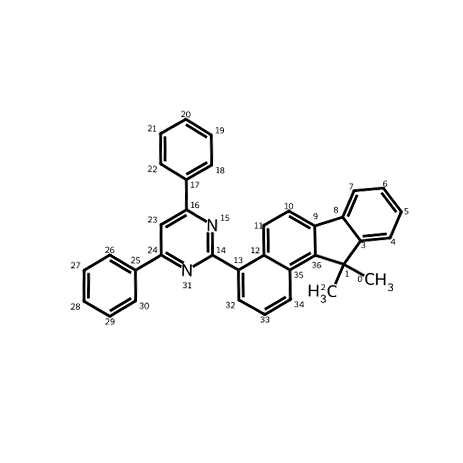 CC1(C)c2ccccc2-c2ccc3c(-c4nc(-c5ccccc5)cc(-c5ccccc5)n4)cccc3c21